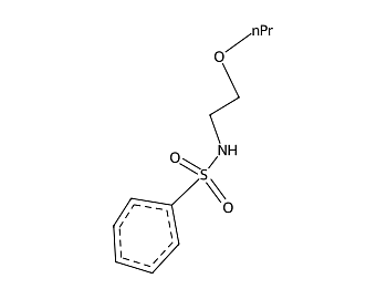 CCCOCCNS(=O)(=O)c1ccccc1